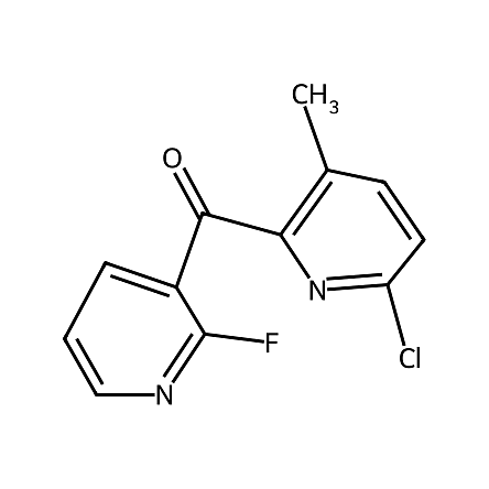 Cc1ccc(Cl)nc1C(=O)c1cccnc1F